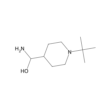 CC(C)(C)N1CCC(C(N)O)CC1